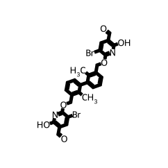 Cc1c(COc2nc(O)c(C=O)cc2Br)cccc1-c1cccc(COc2nc(O)c(C=O)cc2Br)c1C